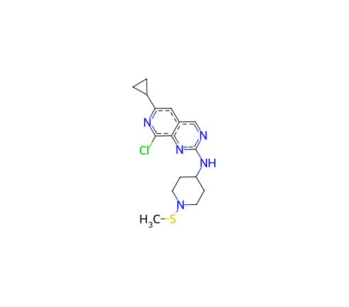 CSN1CCC(Nc2ncc3cc(C4CC4)nc(Cl)c3n2)CC1